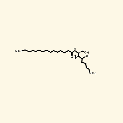 CCCCCCCCCCCCCCCCCCCCCCCC(=O)N[C@@H](CO)[C@H](O)C(O)CCCCCCCCCCCCCC